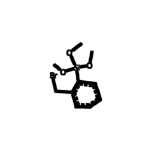 CO[Si](OC)(OC)c1ccccc1CBr